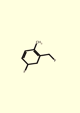 CC1=C(CF)CC(F)C=C1